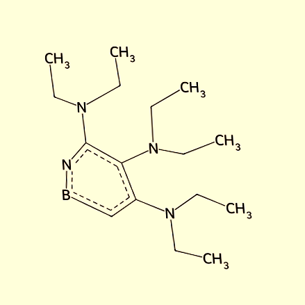 CCN(CC)c1cbnc(N(CC)CC)c1N(CC)CC